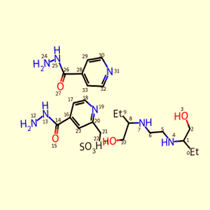 CCC(CO)NCCNC(CC)CO.NNC(=O)c1ccnc(CS(=O)(=O)O)c1.NNC(=O)c1ccncc1